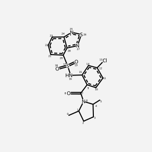 CC1CCC(C)N1C(=O)c1ccc(Cl)cc1NS(=O)(=O)c1cccc2nsnc12